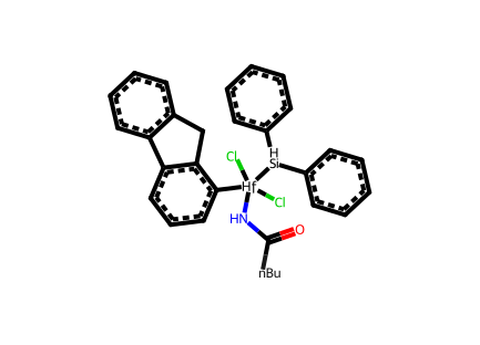 CCCCC(=O)[NH][Hf]([Cl])([Cl])([c]1cccc2c1Cc1ccccc1-2)[SiH](c1ccccc1)c1ccccc1